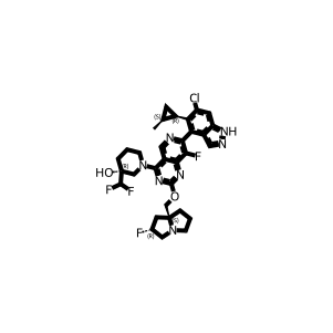 C[C@H]1C[C@H]1c1c(Cl)cc2[nH]ncc2c1-c1ncc2c(N3CCC[C@](O)(C(F)F)C3)nc(OC[C@@]34CCCN3C[C@H](F)C4)nc2c1F